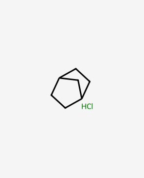 C1CC2CCC1C2.Cl